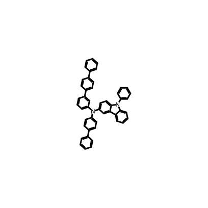 c1ccc(-c2ccc(-c3cccc(N(c4ccc(-c5ccccc5)cc4)c4ccc5c(c4)c4ccccc4n5-c4ccccc4)c3)cc2)cc1